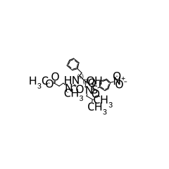 COC(=O)CCN(C)C(=O)N[C@@H](Cc1ccccc1)[C@H](O)CN(CC(C)C)S(=O)(=O)c1ccc([N+](=O)[O-])cc1